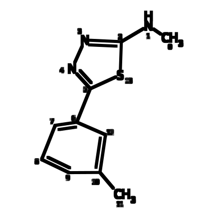 CNc1nnc(-c2cccc(C)c2)s1